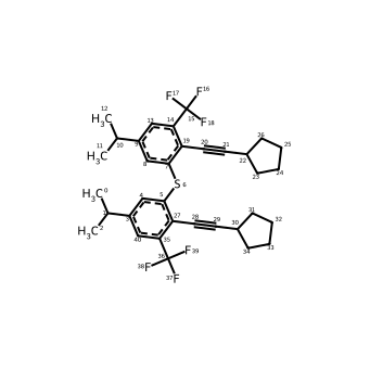 CC(C)c1cc(Sc2cc(C(C)C)cc(C(F)(F)F)c2C#CC2CCCC2)c(C#CC2CCCC2)c(C(F)(F)F)c1